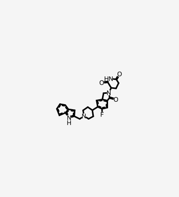 O=C1CCC(N2Cc3cc(C4CCN(Cc5cc6ccccc6[nH]5)CC4)c(F)cc3C2=O)C(=O)N1